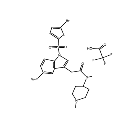 COc1ccc2c(c1)c(CC(=O)N(C)C1CCN(C)CC1)cn2S(=O)(=O)c1ccc(Br)s1.O=C(O)C(F)(F)F